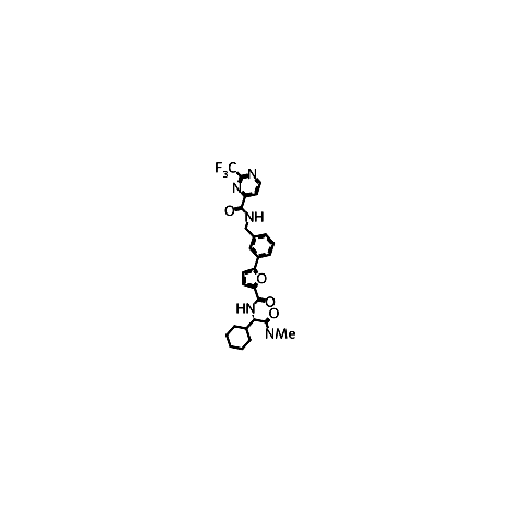 CNC(=O)[C@@H](NC(=O)c1ccc(-c2cccc(CNC(=O)c3ccnc(C(F)(F)F)n3)c2)o1)C1CCCCC1